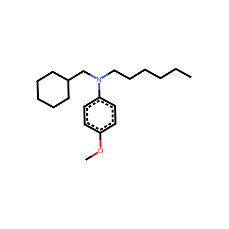 CCCCCCN(CC1CCCCC1)c1ccc(OC)cc1